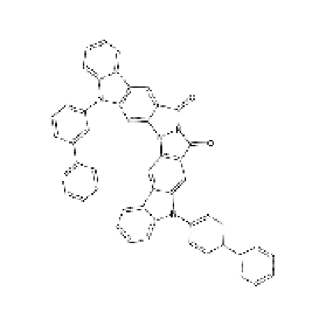 O=c1c2cc3c(cc2n2c4cc5c(cc4c(=O)n12)c1ccccc1n5-c1cccc(-c2ccccc2)c1)c1ccccc1n3-c1ccc(-c2ccccc2)cc1